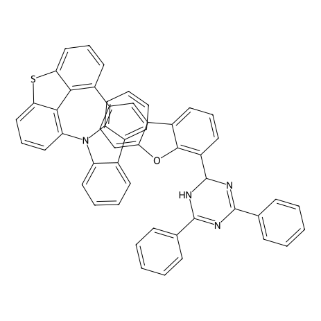 c1ccc(C2=NC(c3cccc4c3oc3ccc(-c5cccc6sc7cccc(-n8c9ccccc9c9ccccc98)c7c56)cc34)NC(c3ccccc3)=N2)cc1